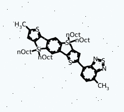 CCCCCCCC[Si]1(CCCCCCCC)c2cc3c(cc2-c2sc(C)cc21)[Si](CCCCCCCC)(CCCCCCCC)c1cc(-c2ccc(C)c4nsnc24)sc1-3